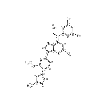 COc1cc(-c2nnc3n([C@@H](CO)c4cc(F)cc(F)c4)cc(Cl)cc2-3)ccc1-n1cnc(C)c1